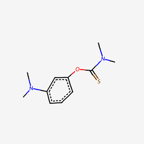 CN(C)C(=S)Oc1cccc(N(C)C)c1